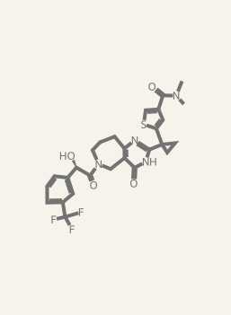 CN(C)C(=O)c1csc(C2(c3nc4c(c(=O)[nH]3)CN(C(=O)[C@H](O)c3cccc(C(F)(F)F)c3)CCC4)CC2)c1